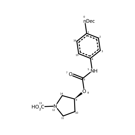 CCCCCCCCCCc1ccc(NC(=O)O[C@H]2CCN(C(=O)O)C2)cc1